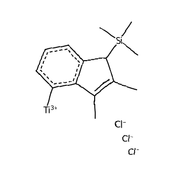 CC1=C(C)C([Si](C)(C)C)c2ccc[c]([Ti+3])c21.[Cl-].[Cl-].[Cl-]